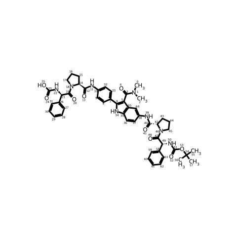 CN(C)C(=O)c1c(-c2ccc(NC(=O)[C@@H]3CCCN3C(=O)[C@H](NC(=O)O)c3ccccc3)cc2)[nH]c2ccc(NC(=O)[C@@H]3CCCN3C(=O)[C@H](NC(=O)OC(C)(C)C)c3ccccc3)cc12